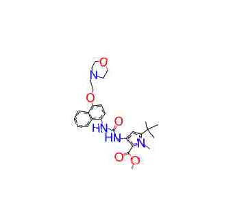 COC(=O)c1c(NC(=O)Nc2ccc(OCCN3CCOCC3)c3ccccc23)cc(C(C)(C)C)n1C